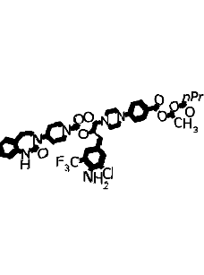 CCCC(=O)OC(C)OC(=O)c1ccc(N2CCN(C(=O)[C@@H](Cc3cc(Cl)c(N)c(C(F)(F)F)c3)OC(=O)N3CCC(N4CCc5ccccc5NC4=O)CC3)CC2)cc1